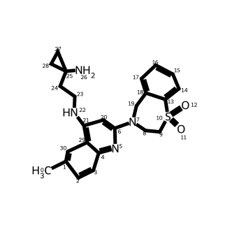 Cc1ccc2nc(N3CCS(=O)(=O)c4ccccc4C3)cc(NCCC3(N)CC3)c2c1